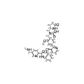 CNCc1ccc(C(=O)Nc2cccc(-c3ccnc(-c4ccc(CN(CC5CCC(=O)N5)C(=O)O)c(OC)c4)c3Cl)c2Cl)nc1